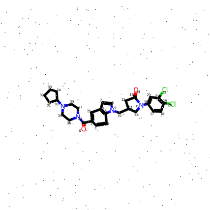 O=C(c1ccc2c(ccn2CC2CC(=O)N(c3ccc(Cl)c(Cl)c3)C2)c1)N1CCN(C2CCCC2)CC1